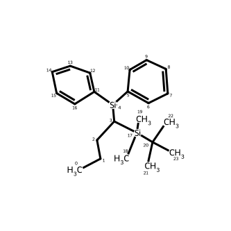 CCCC([Si](c1ccccc1)c1ccccc1)[Si](C)(C)C(C)(C)C